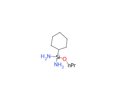 CCCO[Si](N)(N)C1CCCCC1